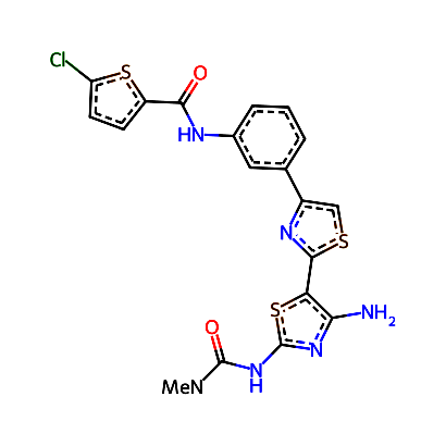 CNC(=O)Nc1nc(N)c(-c2nc(-c3cccc(NC(=O)c4ccc(Cl)s4)c3)cs2)s1